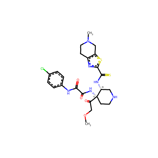 COCC(=O)[C@]1(NC(=O)C(=O)Nc2ccc(Cl)cc2)CCNC[C@H]1NC(=S)c1nc2c(s1)CN(C)CC2